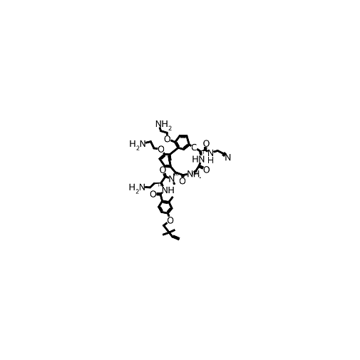 C=CC(C)(C)COc1ccc(C(=O)N[C@@H](CCN)C(=O)N(C)[C@@H]2C(=O)N[C@@H](C)C(=O)N[C@H](C(=O)NCC#N)Cc3ccc(OCCN)c(c3)-c3cc2ccc3OCCN)c(C)c1